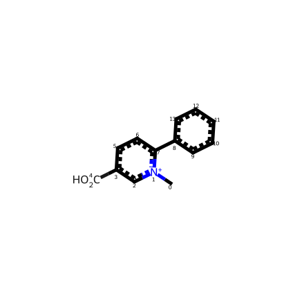 C[n+]1cc(C(=O)O)ccc1-c1ccccc1